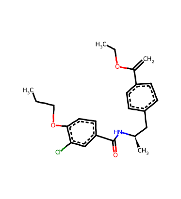 C=C(OCC)c1ccc(C[C@@H](C)NC(=O)c2ccc(OCCC)c(Cl)c2)cc1